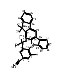 Cc1cc(C#N)cc(C(F)(F)F)c1-n1c2ccccc2c2cc3c(cc21)C(C)(C)c1ccccc1-3